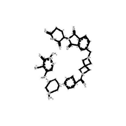 CN1C[C@H](Nc2cnn(C)c(=O)c2Br)C[C@H](c2ccc(C(=O)N3CC4(CN(Cc5ccc6c(c5)C(=O)N(C5CCC(=O)NC5=O)C6=O)C4)C3)cc2)C1